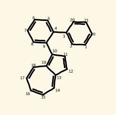 c1ccc(-c2ccccc2-c2ccc3cccccc2-3)cc1